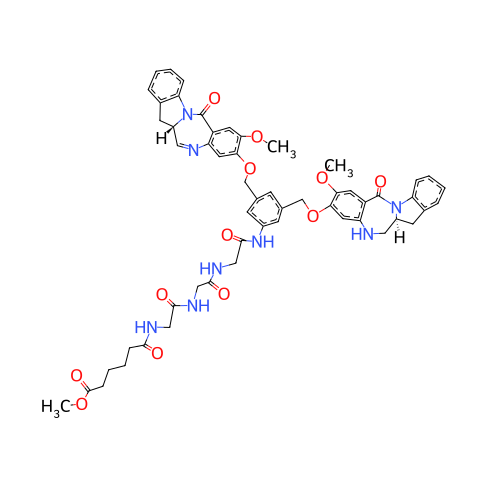 COC(=O)CCCCC(=O)NCC(=O)NCC(=O)NCC(=O)Nc1cc(COc2cc3c(cc2OC)C(=O)N2c4ccccc4C[C@H]2C=N3)cc(COc2cc3c(cc2OC)C(=O)N2c4ccccc4C[C@H]2CN3)c1